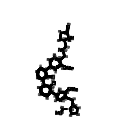 COc1nc(-c2cccc(-c3cccc(-c4cnc(CN5CCC[C@@H]5CO)c(OC)n4)c3Cl)c2Cl)cnc1CNCC1CCC(=O)N1